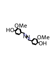 COc1cc(/C=N/N=C/c2ccc(O)c(OC)c2)ccc1O